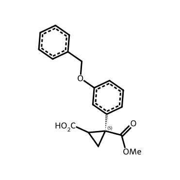 COC(=O)[C@@]1(c2cccc(OCc3ccccc3)c2)CC1C(=O)O